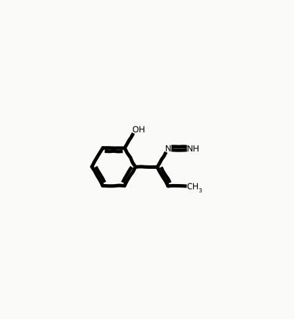 C/C=C(\N=N)c1ccccc1O